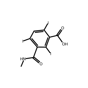 CNC(=O)c1c(I)cc(I)c(C(=O)O)c1I